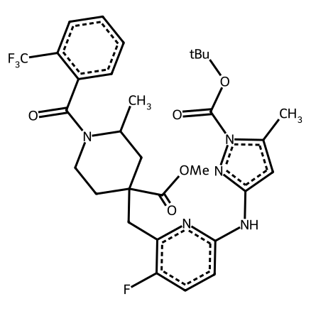 COC(=O)C1(Cc2nc(Nc3cc(C)n(C(=O)OC(C)(C)C)n3)ccc2F)CCN(C(=O)c2ccccc2C(F)(F)F)C(C)C1